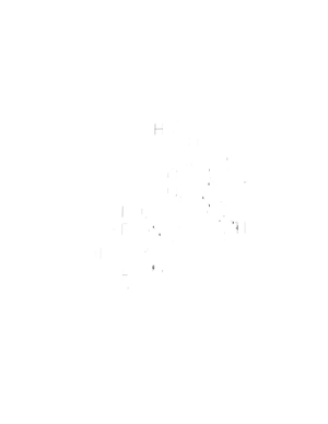 COC(=O)[C@@H]1CCC[C@@H]2SCC[C@H](N(C)C(=O)C(F)(F)F)C(=O)N21